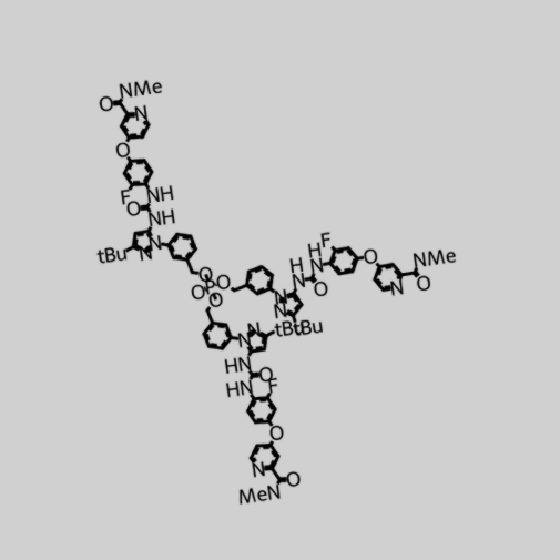 CNC(=O)c1cc(Oc2ccc(NC(=O)Nc3cc(C(C)(C)C)nn3-c3cccc(COP(=O)(OCc4cccc(-n5nc(C(C)(C)C)cc5NC(=O)Nc5ccc(Oc6ccnc(C(=O)NC)c6)cc5F)c4)OCc4cccc(-n5nc(C(C)(C)C)cc5NC(=O)Nc5ccc(Oc6ccnc(C(=O)NC)c6)cc5F)c4)c3)c(F)c2)ccn1